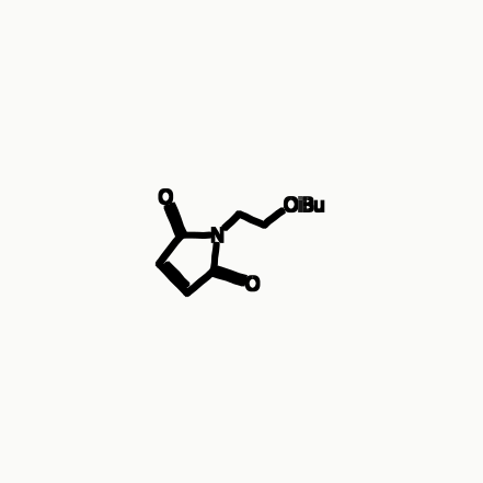 CC(C)COCCN1C(=O)C=CC1=O